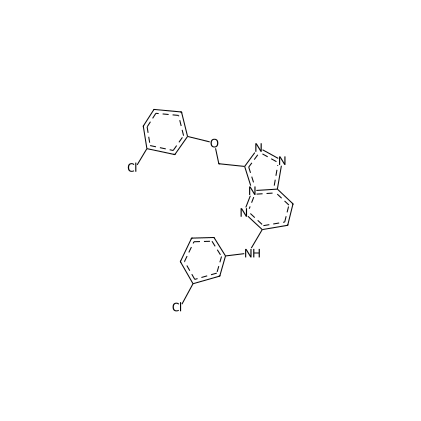 Clc1cccc(Nc2ccc3nnc(COc4cccc(Cl)c4)n3n2)c1